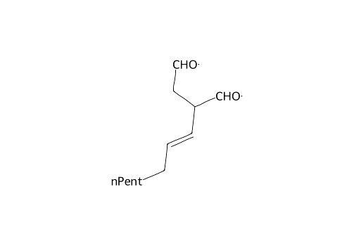 CCCCCC/C=C/C([C]=O)C[C]=O